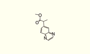 COC(=O)C(C)c1ccc2nccnc2c1